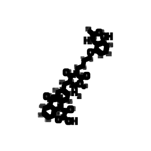 COC(=O)N(CCCCOc1cccc(O)c1NC(C)=O)C(=O)[C@@H](N)Cc1ccc(N(C(=O)C(=O)O)c2ccccc2C(=O)O)cc1